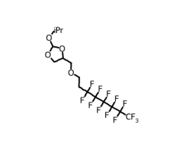 CC(C)OC1OCC(COCCC(F)(F)C(F)(F)C(F)(F)C(F)(F)C(F)(F)C(F)(F)F)O1